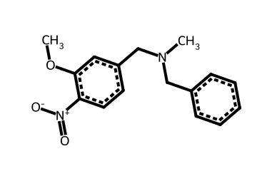 COc1cc(CN(C)Cc2ccccc2)ccc1[N+](=O)[O-]